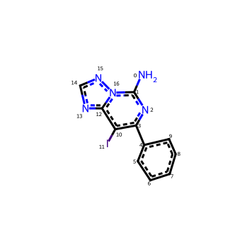 Nc1nc(-c2ccccc2)c(I)c2ncnn12